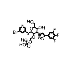 O=P(O)(O)OCOC1C(Sc2cncc(Br)c2)OC(CO)C(O)C1n1cc(-c2cc(F)c(F)c(F)c2)nn1